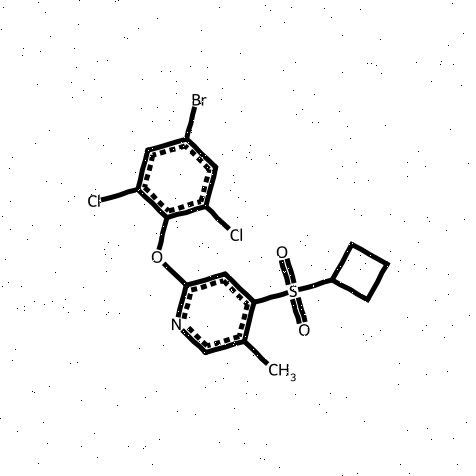 Cc1cnc(Oc2c(Cl)cc(Br)cc2Cl)cc1S(=O)(=O)C1CCC1